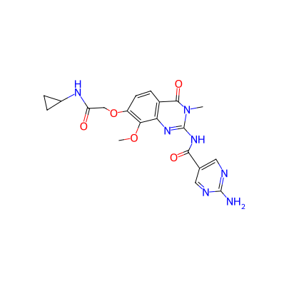 COc1c(OCC(=O)NC2CC2)ccc2c(=O)n(C)c(NC(=O)c3cnc(N)nc3)nc12